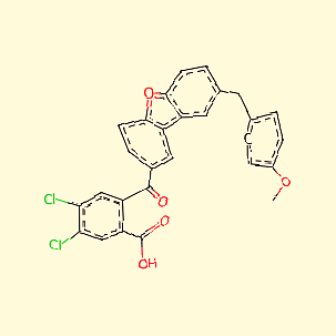 COc1ccc(Cc2ccc3oc4ccc(C(=O)c5cc(Cl)c(Cl)cc5C(=O)O)cc4c3c2)cc1